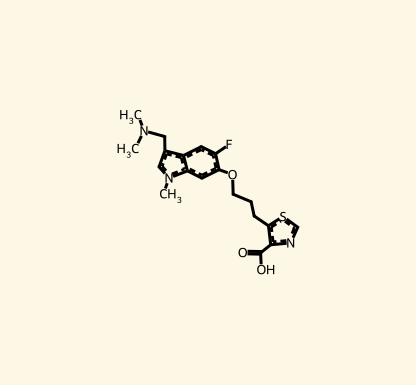 CN(C)Cc1cn(C)c2cc(OCCCc3scnc3C(=O)O)c(F)cc12